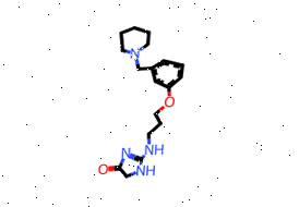 O=C1CNC(NCCCOc2cccc(CN3CCCCC3)c2)=N1